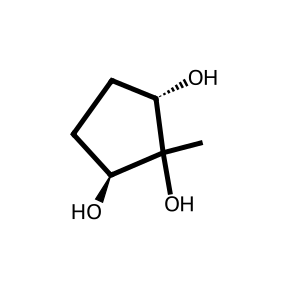 CC1(O)[C@@H](O)CC[C@@H]1O